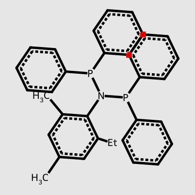 CCc1cc(C)cc(C)c1N(P(c1ccccc1)c1ccccc1)P(c1ccccc1)c1ccccc1